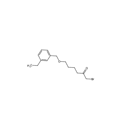 CCc1cccc(COCCCCC(=O)CBr)c1